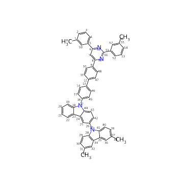 Cc1cccc(-c2cc(-c3ccc(-c4ccc(-n5c6ccccc6c6cc(-n7c8ccc(C)cc8c8cc(C)ccc87)ccc65)cc4)cc3)nc(-c3cccc(C)c3)n2)c1